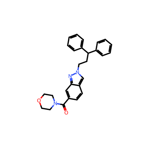 O=C(c1ccc2cn(CCC(c3ccccc3)c3ccccc3)nc2c1)N1CCOCC1